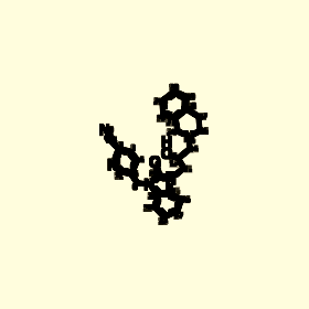 N#Cc1ccc(Cn2c(=O)n(CC(O)CN3CCc4ccccc4C3)c3ccccc32)cn1